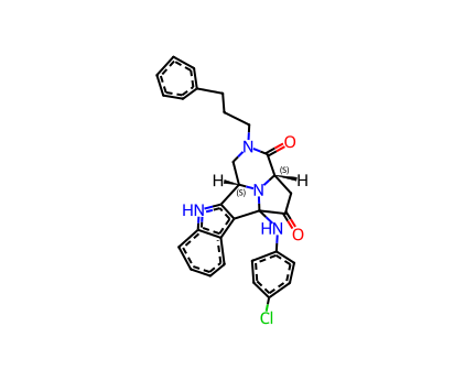 O=C1[C@@H]2CC(=O)C3(Nc4ccc(Cl)cc4)c4c([nH]c5ccccc45)[C@H](CN1CCCc1ccccc1)N23